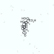 C[C@]12CC[C@H](C3C(O)CCN3C(=O)O)C[C@@]1(O)CC[C@@H]1[C@@H]2CC[C@]2(C)[C@@H](c3ccc(=O)oc3)CC[C@]12O